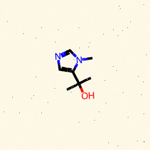 Cn1cncc1C(C)(C)O